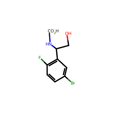 O=C(O)NC(CO)c1cc(Br)ccc1F